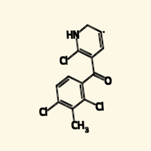 Cc1c(Cl)ccc(C(=O)C2=C(Cl)NC[C]=C2)c1Cl